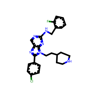 Fc1ccccc1CNc1ncc2nc(-c3ccc(Cl)cc3)n(CCC3CCNCC3)c2n1